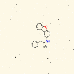 CCCC(Cc1ccccc1)Nc1ccc2oc3ccccc3c2c1